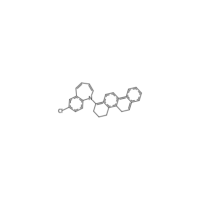 Clc1ccc2c(c1)C=CC=CN2C1=c2ccc3c(c2CCC1)CC=c1ccccc1=3